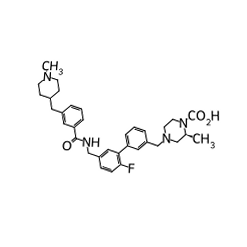 C[C@H]1CN(Cc2cccc(-c3cc(CNC(=O)c4cccc(CC5CCN(C)CC5)c4)ccc3F)c2)CCN1C(=O)O